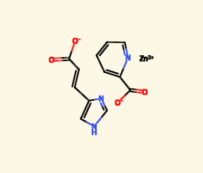 O=C([O-])C=Cc1c[nH]cn1.O=C([O-])c1ccccn1.[Zn+2]